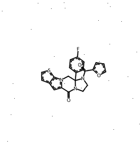 O=C(c1ccco1)N1CCN2C(=O)c3cc4ccsc4n3CC12c1ccc(F)cc1